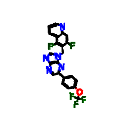 Fc1cc2ncccc2c(F)c1Cn1cnc2ncc(-c3ccc(OC(F)(F)F)cc3)nc21